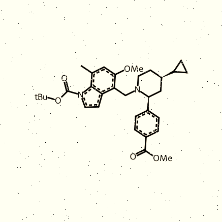 COC(=O)c1ccc([C@@H]2C[C@H](C3CC3)CCN2Cc2c(OC)cc(C)c3c2ccn3C(=O)OC(C)(C)C)cc1